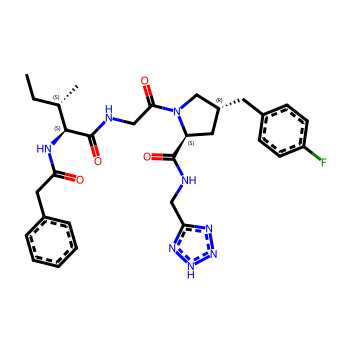 CC[C@H](C)[C@H](NC(=O)Cc1ccccc1)C(=O)NCC(=O)N1C[C@H](Cc2ccc(F)cc2)C[C@H]1C(=O)NCc1nn[nH]n1